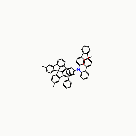 Cc1ccc2c(c1)-c1cc(C)ccc1C21c2ccc(C)cc2-c2cccc(-c3cc(-c4ccccc4)cc(N(c4ccc5c(c4)C(C)(C)c4ccccc4-5)c4ccccc4-c4ccccc4)c3)c21